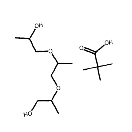 CC(C)(C)C(=O)O.CC(O)COC(C)COC(C)CO